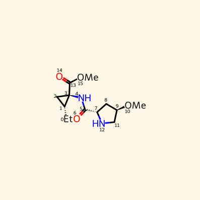 CC[C@@H]1C[C@]1(NC(=O)[C@@H]1C[C@@H](OC)CN1)C(=O)OC